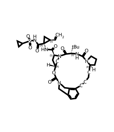 C=C[C@@H]1C[C@]1(NC(=O)[C@@H]1C[C@@H]2CN1C(=O)[C@H](C(C)(C)C)NC(=O)N1CCC[C@H]1CCCCc1cccc3c1CN(C3)C(=O)O2)C(=O)NS(=O)(=O)C1CC1